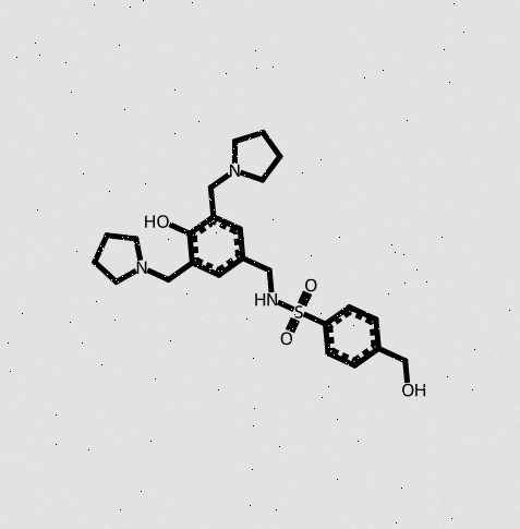 O=S(=O)(NCc1cc(CN2CCCC2)c(O)c(CN2CCCC2)c1)c1ccc(CO)cc1